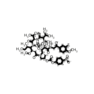 CC[C@H](C)C([C@@H](CC(=O)N1C[C@@H](OC(=O)Oc2ccc([N+](=O)[O-])cc2)C[C@H]1[C@H](OC)[C@@H](C)C(=O)NCC(=O)c1ccc(OC)c(F)c1)OC)N(C)C(=O)[C@@H](NC(=O)C(C(C)C)N(C)C)C(C)C